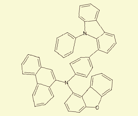 c1ccc(-n2c3ccccc3c3cccc(-c4ccc(N(c5cc6ccccc6c6ccccc56)c5cccc6oc7ccccc7c56)cc4)c32)cc1